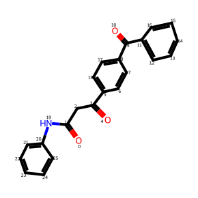 O=C(CC(=O)c1ccc(C(=O)c2ccccc2)cc1)Nc1ccccc1